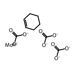 C1=CCCCC1.O=C([O-])[O-].O=C([O-])[O-].O=C([O-])[O-].[Mo+6]